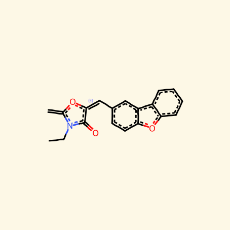 C=c1o/c(=C/c2ccc3oc4ccccc4c3c2)c(=O)n1CC